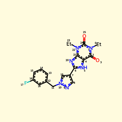 CCn1c(=O)c2[nH]c(-c3cnn(Cc4cccc(F)c4)c3)nc2n(CC)c1=O